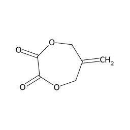 C=C1COC(=O)C(=O)OC1